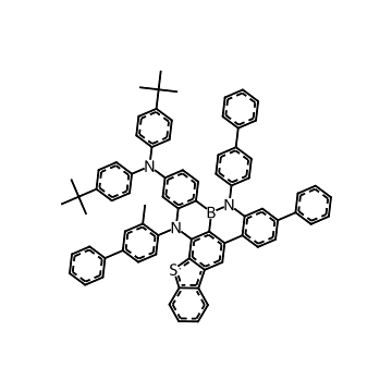 Cc1cc(-c2ccccc2)ccc1N1c2cc(N(c3ccc(C(C)(C)C)cc3)c3ccc(C(C)(C)C)cc3)ccc2B2c3c(cc4c(sc5ccccc54)c31)-c1ccc(-c3ccccc3)cc1N2c1ccc(-c2ccccc2)cc1